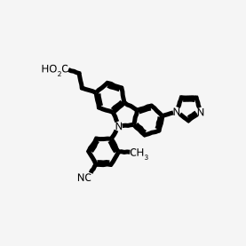 Cc1cc(C#N)ccc1-n1c2ccc(-n3ccnc3)cc2c2ccc(CCC(=O)O)cc21